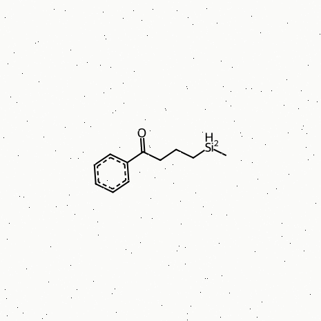 C[SiH2]CCCC(=O)c1ccccc1